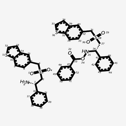 N[C@H](CS(=O)(=O)Cc1ccc2sccc2c1)c1ccccc1.O=C(ON[C@H](CS(=O)(=O)Cc1ccc2sccc2c1)c1ccccc1)c1ccccc1